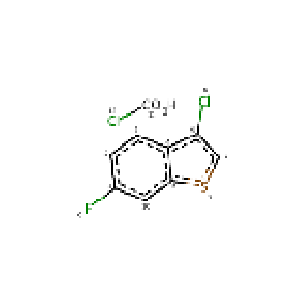 Fc1ccc2c(Cl)csc2c1.O=C(O)Cl